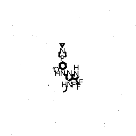 CCCNc1cc(Nc2ccc(P3CCN(C4CC4)CC3)cc2OC)nc2[nH]cc(C(F)(F)F)c12